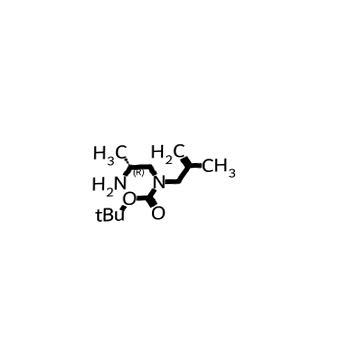 C=C(C)CN(C[C@@H](C)N)C(=O)OC(C)(C)C